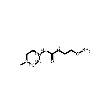 CN1CC[15N]([13CH2]C(=O)NCCON)[13CH2][13CH2]1